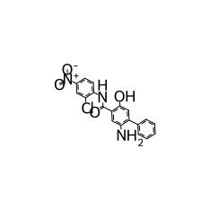 Nc1cc(C(=O)Nc2ccc([N+](=O)[O-])cc2Cl)c(O)cc1-c1ccccc1